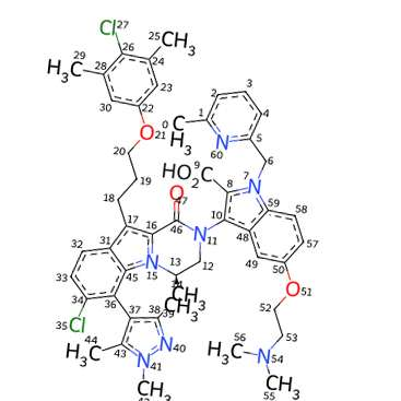 Cc1cccc(Cn2c(C(=O)O)c(N3C[C@@H](C)n4c(c(CCCOc5cc(C)c(Cl)c(C)c5)c5ccc(Cl)c(-c6c(C)nn(C)c6C)c54)C3=O)c3cc(OCCN(C)C)ccc32)n1